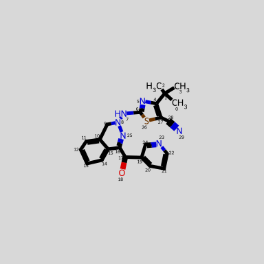 CC(C)(C)c1nc(NN2Cc3ccccc3C(C(=O)c3cccnc3)=N2)sc1C#N